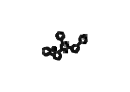 c1ccc(-c2cc(-c3cccc4c3oc3ccccc34)nc(-c3cccc(-c4ccncc4)c3)n2)cc1